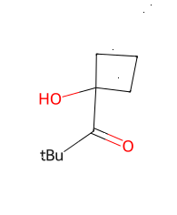 CC(C)(C)C(=O)C1(O)CCC1